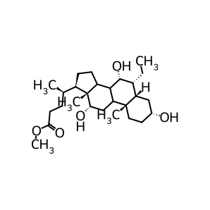 CC[C@H]1[C@@H](O)C2C3CC[C@H]([C@H](C)CCC(=O)OC)[C@@]3(C)[C@@H](O)CC2[C@@]2(C)CC[C@@H](O)C[C@@H]12